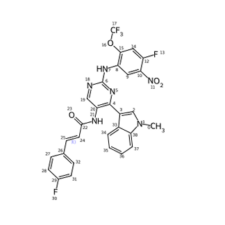 Cn1cc(-c2nc(Nc3cc([N+](=O)[O-])c(F)cc3OC(F)(F)F)ncc2NC(=O)/C=C/c2ccc(F)cc2)c2ccccc21